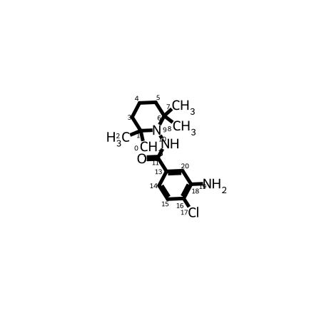 CC1(C)CCCC(C)(C)N1NC(=O)c1ccc(Cl)c(N)c1